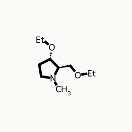 CCOC[C@@H]1[C@@H](OCC)CCN1C